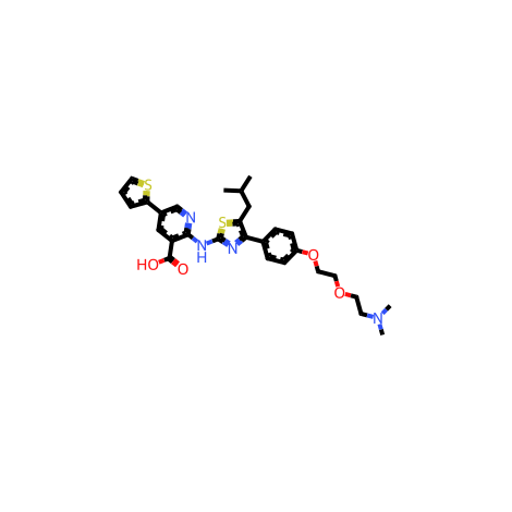 CC(C)Cc1sc(Nc2ncc(-c3cccs3)cc2C(=O)O)nc1-c1ccc(OCCOCCN(C)C)cc1